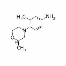 Cc1cc(N)ccc1N1CCO[C@H](C)C1